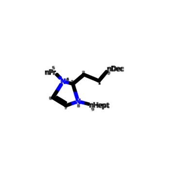 CCCCCCCCCCCCC1N(CCC)C=CN1CCCCCCC